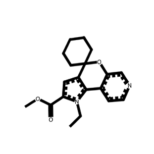 CCn1c(C(=O)OC)cc2c1-c1ccncc1OC21CCCCC1